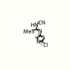 CS/C(=N\c1cnc(Cl)s1)NC#N